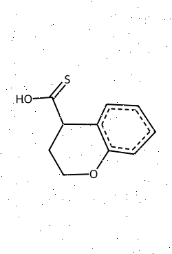 OC(=S)C1CCOc2ccccc21